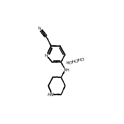 Cl.Cl.Cl.N#Cc1ccc(NC2CCNCC2)cn1